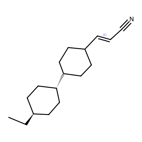 CC[C@H]1CC[C@H](C2CCC(/C=C/C#N)CC2)CC1